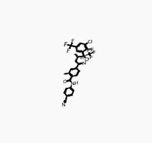 Cc1cc(C2=NO[C@](c3cc(C(F)(F)F)cc(Cl)c3F)(C(F)(F)F)C(C)C2)ccc1C(=O)Nc1ccc(C#N)cc1